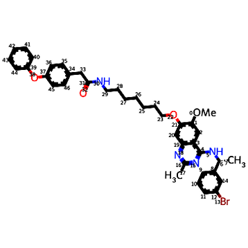 COc1cc2c(N[C@H](C)c3cccc(Br)c3)nc(C)nc2cc1OCCCCCCCNC(=O)Cc1ccc(Oc2ccccc2)cc1